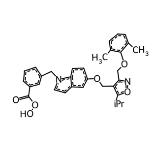 Cc1cccc(C)c1OCc1noc(C(C)C)c1COc1ccc2c(ccn2Cc2cccc(C(=O)OO)c2)c1